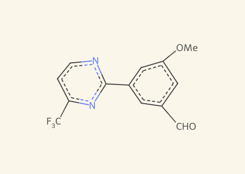 COc1cc(C=O)cc(-c2nccc(C(F)(F)F)n2)c1